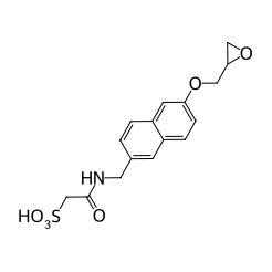 O=C(CS(=O)(=O)O)NCc1ccc2cc(OCC3CO3)ccc2c1